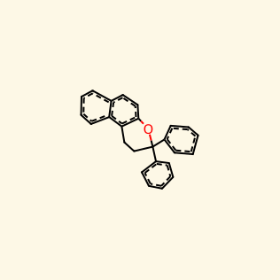 c1ccc(C2(c3ccccc3)CCc3c(ccc4ccccc34)O2)cc1